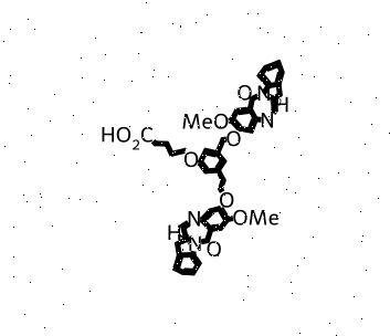 COc1cc2c(cc1OCCc1cc(COc3cc4c(cc3OC)C(=O)N3c5ccccc5C[C@H]3C=N4)cc(OCCCCC(=O)O)c1)N=C[C@@H]1Cc3ccccc3N1C2=O